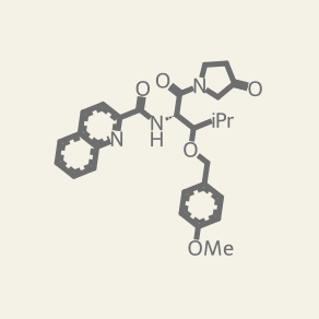 COc1ccc(COC(C(C)C)[C@H](NC(=O)c2ccc3ccccc3n2)C(=O)N2CCC(=O)C2)cc1